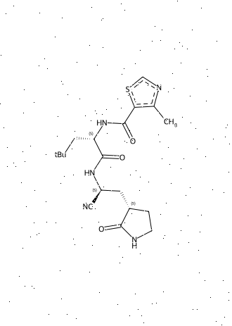 Cc1ncsc1C(=O)N[C@@H](CC(C)(C)C)C(=O)N[C@H](C#N)C[C@@H]1CCNC1=O